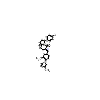 Cc1cn(-c2ccc(/C=C3\CC[C@H]4CC[C@@H](c5ccc(Cl)cc5)N4C3=O)cc2C)cn1